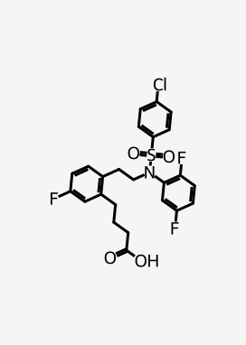 O=C(O)CCCc1cc(F)ccc1CCN(c1cc(F)ccc1F)S(=O)(=O)c1ccc(Cl)cc1